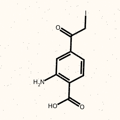 Nc1cc(C(=O)CI)ccc1C(=O)O